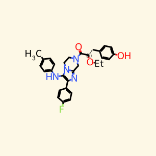 CCO[C@@H](Cc1ccc(O)cc1)C(=O)N1CCn2c(nc(-c3ccc(F)cc3)c2Nc2ccc(C)cc2)C1